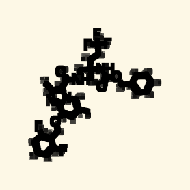 Cc1cc(OCc2c(F)cccc2F)c2nc(C)c(C(=O)NCC(C)(CCC(F)(F)F)NC(=O)OCc3ccccc3)n2c1